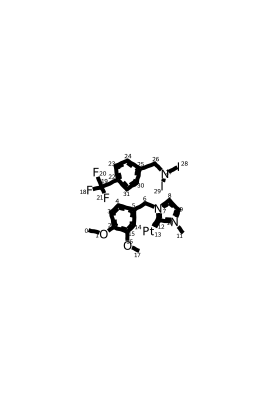 COc1ccc(Cn2ccn(C)[c]2=[Pt])cc1OC.FC(F)(F)c1ccc(CN(I)I)cc1